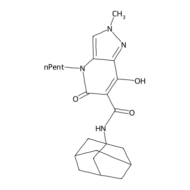 CCCCCn1c(=O)c(C(=O)NC23CC4CC(CC(C4)C2)C3)c(O)c2nn(C)cc21